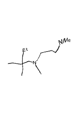 CCC(C)(C)N(C)CCNC